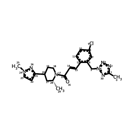 Cc1nnn(Cc2cc(Cl)ccc2/C=C/C(=O)N2CCC(c3ccn(C)n3)C[C@H]2C)n1